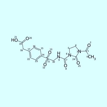 CC(=O)N1CCN(C(=O)NCS(=O)(=O)c2ccc(CC(=O)O)cc2)C1=O